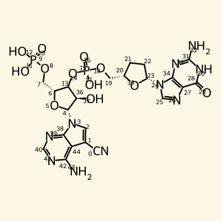 N#Cc1cn([C@@H]2O[C@H](COP(=O)(O)O)C(OP(=O)(O)OC[C@@H]3CC[C@H](n4cnc5c(=O)[nH]c(N)nc54)O3)[C@H]2O)c2ncnc(N)c12